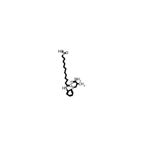 CC(CSc1ccccc1NC(=O)CCCCCCCCCCCS(=O)O)C(N)=O